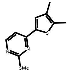 CSc1nccc(-c2cc(C)c(C)s2)n1